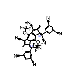 N#CC1=C(F)/C(=C(/C#N)c2cc(C#N)cc(C#N)c2)c2c(OC(F)(F)F)c3c(c(OC(F)(F)F)c21)C(C#N)=C(F)/C3=C(/C#N)c1cc(C#N)cc(C#N)c1